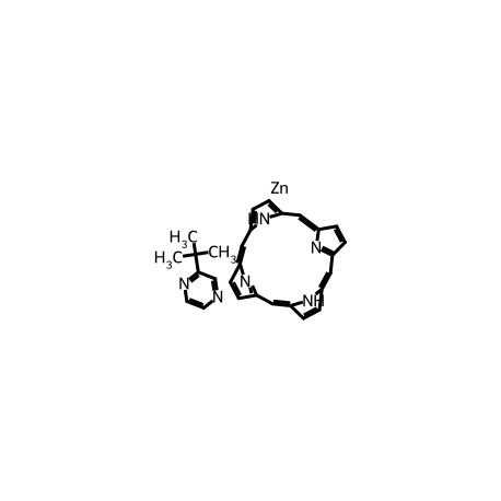 C1=Cc2cc3ccc(cc4nc(cc5ccc(cc1n2)[nH]5)C=C4)[nH]3.CC(C)(C)c1cnccn1.[Zn]